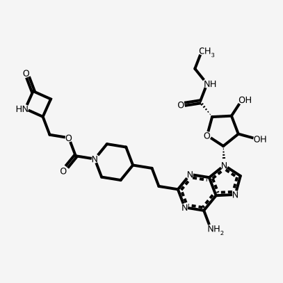 CCNC(=O)[C@H]1O[C@@H](n2cnc3c(N)nc(CCC4CCN(C(=O)OCC5CC(=O)N5)CC4)nc32)C(O)C1O